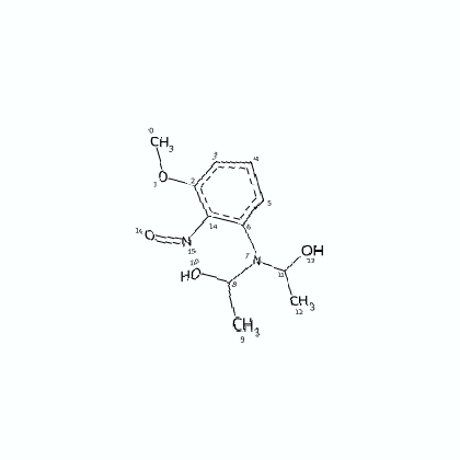 COc1cccc(N(C(C)O)C(C)O)c1N=O